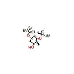 C=C1[C@@H](O)C[C@H](O[Si](CC)(CC)CC)C[C@H]1O[Si](C)(C)C(C)(C)C